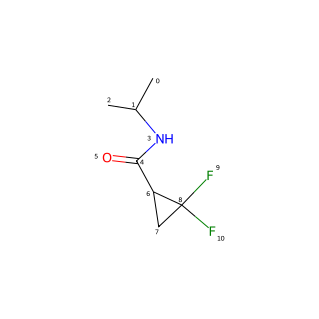 CC(C)NC(=O)C1CC1(F)F